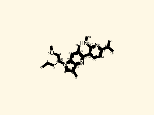 CCC[C@H](COC)n1cc(C)c2nc(-c3ccc(C(C)C)nc3NC)c(C)cc21